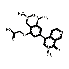 COc1cc(-c2cn(C)c(=O)c3cnccc23)cc(OCC(=O)O)c1CN(C)C